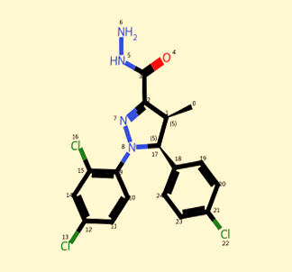 C[C@@H]1C(C(=O)NN)=NN(c2ccc(Cl)cc2Cl)[C@@H]1c1ccc(Cl)cc1